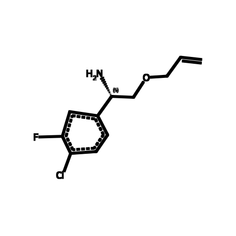 C=CCOC[C@@H](N)c1ccc(Cl)c(F)c1